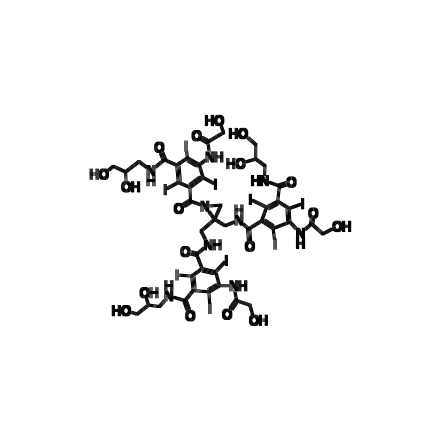 O=C(CO)Nc1c(I)c(C(=O)NCC(O)CO)c(I)c(C(=O)NCC2(CNC(=O)c3c(I)c(NC(=O)CO)c(I)c(C(=O)NCC(O)CO)c3I)CN2C(=O)c2c(I)c(NC(=O)CO)c(I)c(C(=O)NCC(O)CO)c2I)c1I